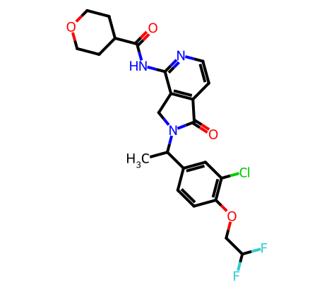 CC(c1ccc(OCC(F)F)c(Cl)c1)N1Cc2c(ccnc2NC(=O)C2CCOCC2)C1=O